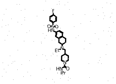 CCN(CC1CCN(C(=O)NC(C)C)CC1)C1CCc2ccc(NS(=O)(=O)c3ccc(F)cc3)cc2C1